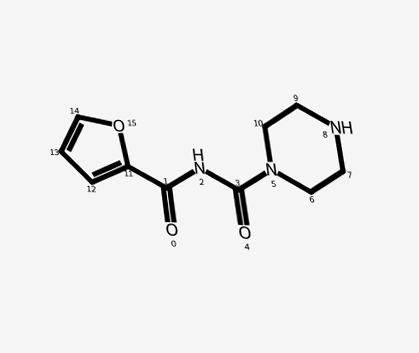 O=C(NC(=O)N1CCNCC1)c1ccco1